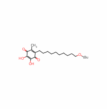 CC1=C(CCCCCCCCCCOC(C)(C)C)C(=O)C(O)=C(O)C1=O